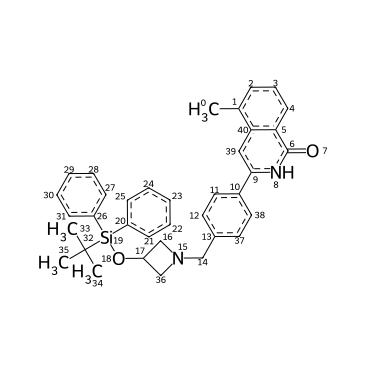 Cc1cccc2c(=O)[nH]c(-c3ccc(CN4CC(O[Si](c5ccccc5)(c5ccccc5)C(C)(C)C)C4)cc3)cc12